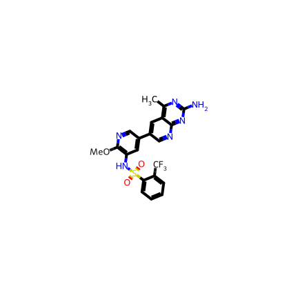 COc1ncc(-c2cnc3nc(N)nc(C)c3c2)cc1NS(=O)(=O)c1ccccc1C(F)(F)F